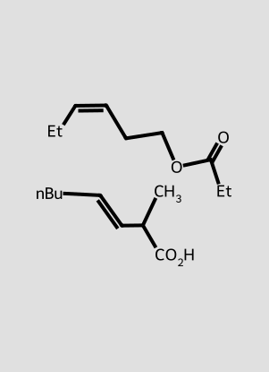 CC/C=C\CCOC(=O)CC.CCCCC=CC(C)C(=O)O